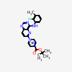 Cc1cccc(Nc2ncnc3ccc(N4CC5CCC4CN5C(=O)OC(C)(C)C)nc23)c1F